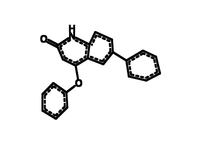 O=c1cc(Oc2ccccc2)c2cc(-c3ccccc3)ccc2[nH]1